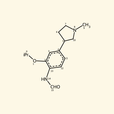 CC(C)Oc1cc(C2CCN(C)C2)ccc1NC=O